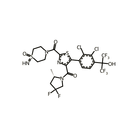 C[C@H]1CC(F)(F)CN1C(=O)c1nc(C(=O)N2CCS(=N)(=O)CC2)sc1-c1ccc(C(O)(C(F)(F)F)C(F)(F)F)c(Cl)c1Cl